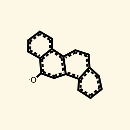 [O]c1cc2c3ccccc3ccc2c2ccccc12